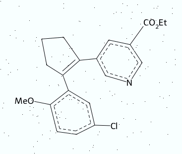 CCOC(=O)c1cncc(C2=C(c3cc(Cl)ccc3OC)CCC2)c1